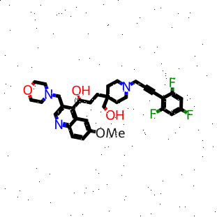 COc1ccc2ncc(CN3CCOCC3)c([C@@H](O)CCC3(CO)CCN(CC#Cc4c(F)cc(F)cc4F)CC3)c2c1